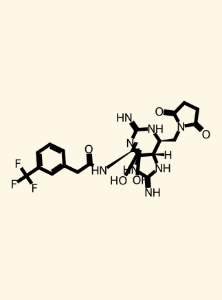 N=C1N[C@H]2[C@H](CN3C(=O)CCC3=O)NC(=N)N3C[C@H](NC(=O)Cc4cccc(C(F)(F)F)c4)C(O)(O)[C@]23N1